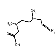 C=CCN(C)CCN(C)CC(O)=S